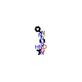 Cc1noc(NC(=O)N2CCN(c3nc(-c4ccccc4)ns3)CC2)c1C